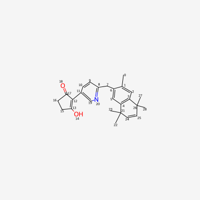 Cc1cc2c(cc1Cc1ccc(C3=C(O)CCC3=O)cn1)C(C)(C)C=CC2(C)C